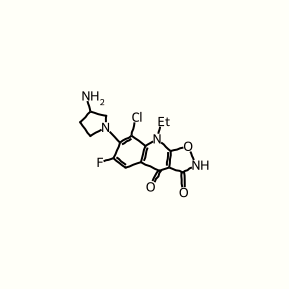 CCn1c2o[nH]c(=O)c2c(=O)c2cc(F)c(N3CCC(N)C3)c(Cl)c21